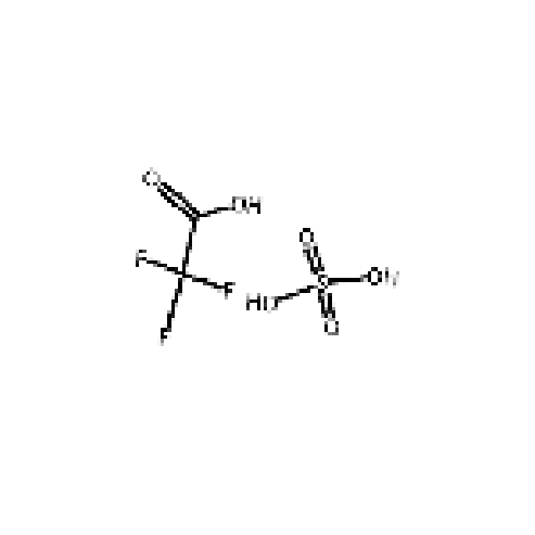 O=C(O)C(F)(F)F.O=S(=O)(O)O